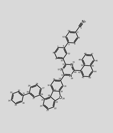 N#Cc1ccc(-c2cccc(-c3nc(-c4ccc5c(c4)oc4cccc(-c6cccc(-c7ccccc7)c6)c45)nc(-c4cccc5ccccc45)n3)c2)cc1